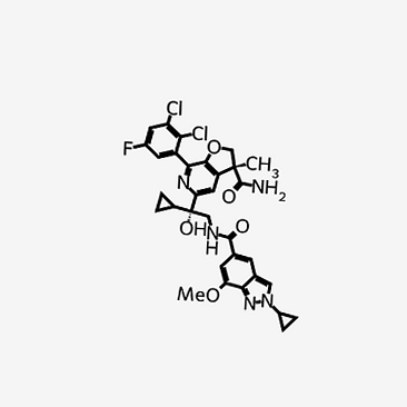 COc1cc(C(=O)NC[C@](O)(c2cc3c(c(-c4cc(F)cc(Cl)c4Cl)n2)OC[C@]3(C)C(N)=O)C2CC2)cc2cn(C3CC3)nc12